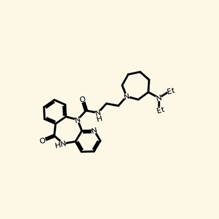 CCN(CC)C1CCCCN(CCNC(=O)N2c3ccccc3C(=O)Nc3cccnc32)C1